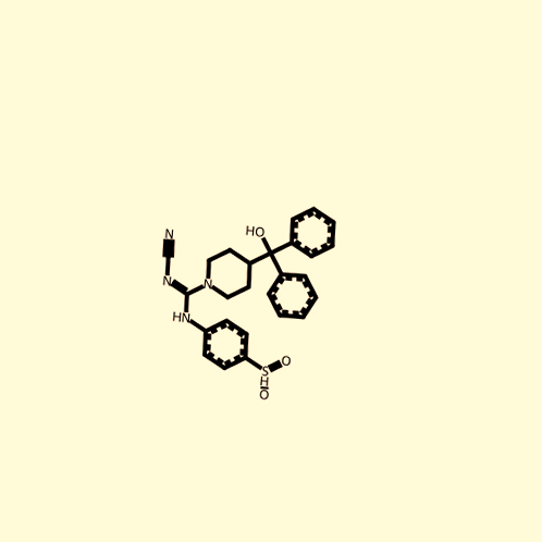 N#C/N=C(/Nc1ccc([SH](=O)=O)cc1)N1CCC(C(O)(c2ccccc2)c2ccccc2)CC1